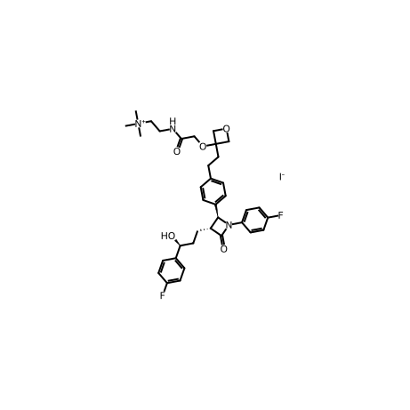 C[N+](C)(C)CCNC(=O)COC1(CCc2ccc([C@@H]3[C@@H](CC[C@H](O)c4ccc(F)cc4)C(=O)N3c3ccc(F)cc3)cc2)COC1.[I-]